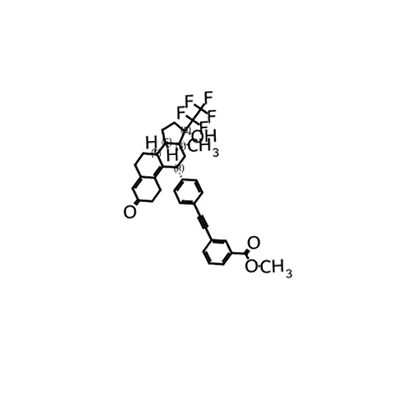 COC(=O)c1cccc(C#Cc2ccc([C@H]3C[C@@]4(C)[C@@H](CC[C@@]4(O)C(F)(F)C(F)(F)F)[C@@H]4CCC5=CC(=O)CCC5=C43)cc2)c1